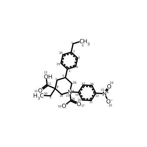 CCc1ccc(C2CC(CC)(C(=O)O)C[N+](C(=O)[O-])(c3ccc([N+](=O)[O-])cc3)C2)cc1